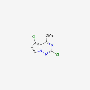 COc1nc(Cl)nn2ccc(Cl)c12